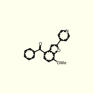 COc1ccc(C(=O)c2ccccc2)c2cc(-c3ccncc3)oc12